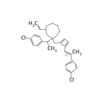 C=CC1CCCCCC(CC2=CC=C2/C=C(\C)c2ccc(Cl)cc2)(C(C)c2ccc(Cl)cc2)C1